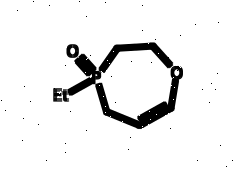 CCP1(=O)CC=COCC1